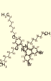 CCCCCCCCOc1ccc(-c2nc3c4ccc(Br)cc4c4cc(Br)ccc4c3n2CCCCCCCC)c(OCCCCCCCC)c1